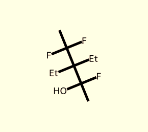 CCC(CC)(C(C)(O)F)C(C)(F)F